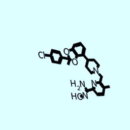 Cc1ccc(C(N)=NO)nc1CN1CCC(c2cccc3c2OC(C)(c2ccc(Cl)cc2)O3)CC1